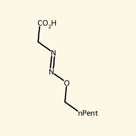 CCCCCCON=NCC(=O)O